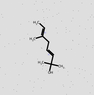 [CH2]/C=C(\C)C/C=C/C(C)(C)O